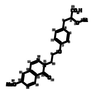 CCOC(Cc1ccc(OCCn2ncc3cc(OC)ccc3c2=O)cc1)C(=O)O